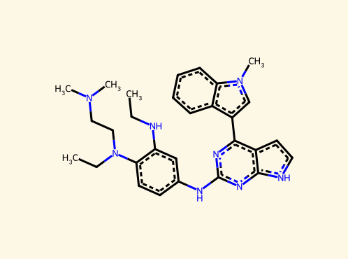 CCNc1cc(Nc2nc(-c3cn(C)c4ccccc34)c3cc[nH]c3n2)ccc1N(CC)CCN(C)C